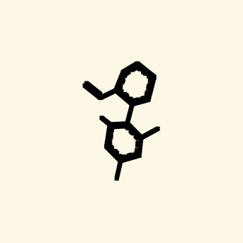 C=Cc1ccccc1-c1c(C)cc(C)cc1C